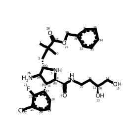 CC(C)(C[C@@H]1N[C@@H](C(=O)NCC[C@H](O)CO)[C@H](c2cccc(Cl)c2F)C1N)C(=O)OCc1ccccc1